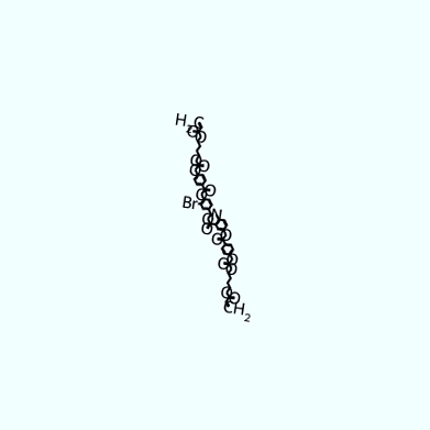 C=CC(=O)OCCCCOC(=O)Oc1ccc(C(=O)Oc2ccc3nc(-c4ccc(OC(=O)c5ccc(OC(=O)OCCCCOC(=O)C=C)cc5)c(Br)c4)oc(=O)c3c2)cc1